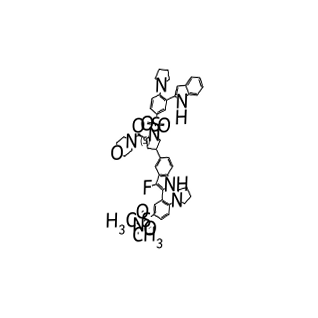 CN(C)S(=O)(=O)c1ccc(N2CCCC2)c(-c2[nH]c3ccc(C4C[C@@H](C(=O)N5CCOCC5)N(S(=O)(=O)c5ccc(N6CCCC6)c(-c6cc7ccccc7[nH]6)c5)C4)cc3c2F)c1